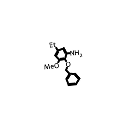 CCc1cc(N)c(OCc2ccccc2)c(OC)c1